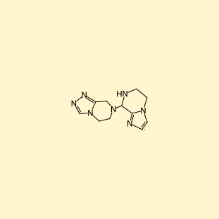 [c]1cn2c(n1)C(N1CCn3cnnc3C1)NCC2